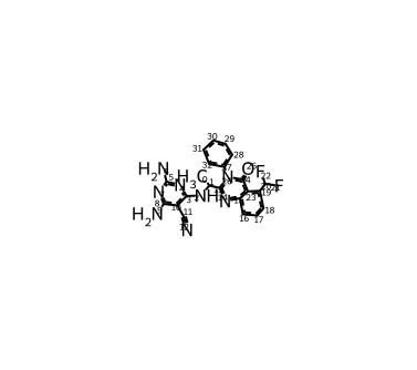 CC(Nc1nc(N)nc(N)c1C#N)c1nc2cccc(C(F)F)c2c(=O)n1-c1ccccc1